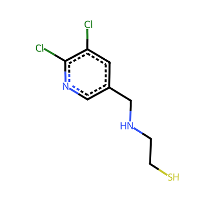 SCCNCc1cnc(Cl)c(Cl)c1